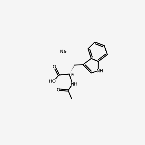 CC(=O)N[C@@H](Cc1c[nH]c2ccccc12)C(=O)O.[Na]